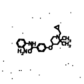 CC1(C)CC(Oc2ccc(C(=O)Nc3ccccc3N)cc2)CCN1CC1CC1